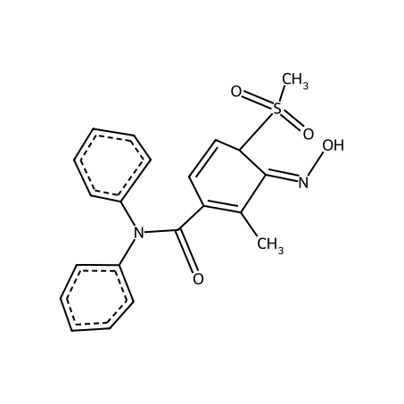 CC1=C(C(=O)N(c2ccccc2)c2ccccc2)C=CC(S(C)(=O)=O)C1=NO